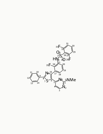 CNc1nccc(-c2sc(-c3ccccc3)nc2-c2cccc(NS(=O)(=O)c3c(F)cccc3F)c2F)n1